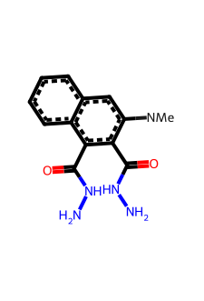 CNc1cc2ccccc2c(C(=O)NN)c1C(=O)NN